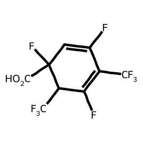 O=C(O)C1(F)C=C(F)C(C(F)(F)F)=C(F)C1C(F)(F)F